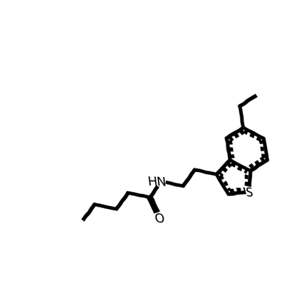 CCCCC(=O)NCCc1csc2ccc(CC)cc12